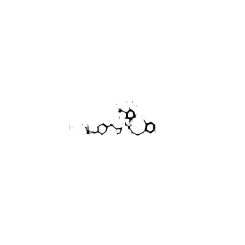 COC(=O)c1ccc2c(c1)N(C[C@@H]1CC[C@H]1[C@H](OC)C1=CCC(CS(N)(=O)=O)CC1)CCCCc1cc(Cl)ccc1CO2